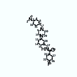 CN(C)c1ccc(CN2CCN(c3cccc(CNC(=O)c4ccc(F)cc4)c3)CC2)cc1